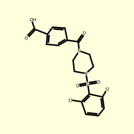 O=C(O)c1ccc(C(=O)N2CCN(S(=O)(=O)c3c(Cl)cccc3Cl)CC2)cc1